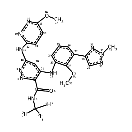 [2H]C([2H])([2H])NC(=O)c1nnc(Nc2ccc(OC)nn2)cc1Nc1cccc(-c2cnn(C)n2)c1OC